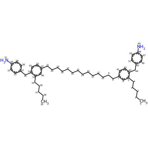 CCCCCc1cc(CCCCCCCCCCCCCCc2ccc(Cc3ccc(N)cc3)c(CCCCC)c2)ccc1Cc1ccc(N)cc1